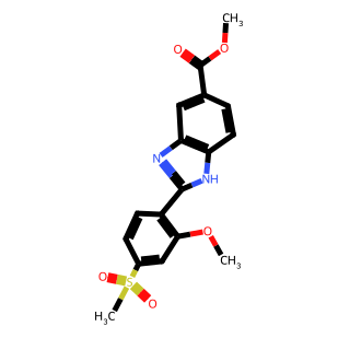 COC(=O)c1ccc2[nH]c(-c3ccc(S(C)(=O)=O)cc3OC)nc2c1